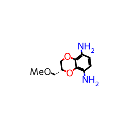 COC[C@@H]1COc2c(N)ccc(N)c2O1